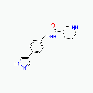 O=C(NCc1ccc(-c2cn[nH]c2)cc1)C1CCCNC1